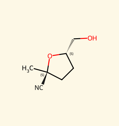 C[C@@]1(C#N)CC[C@@H](CO)O1